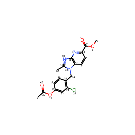 COC(=O)c1ccc2c(n1)nc(C)n2Cc1ccc(OC(C)=O)cc1Cl